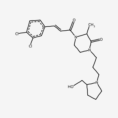 CC1C(=O)N(CCCN2CCCC2CO)CCN1C(=O)C=Cc1ccc(Cl)c(Cl)c1